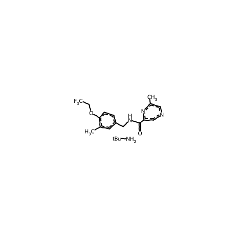 CC(C)(C)N.Cc1cncc(C(=O)NCc2ccc(OCC(F)(F)F)c(C)c2)n1